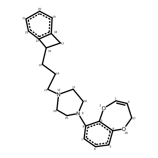 C1=COc2c(cccc2N2CCN(CCCC3Cc4ccccc43)CC2)OC1